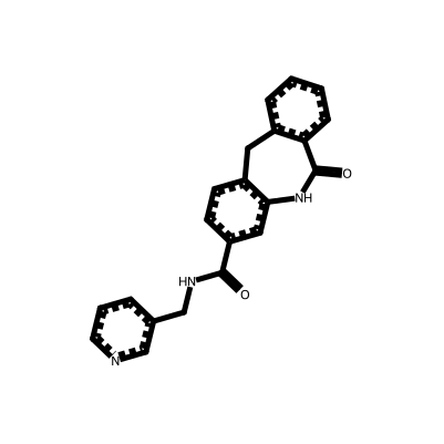 O=C(NCc1cccnc1)c1ccc2c(c1)NC(=O)c1ccccc1C2